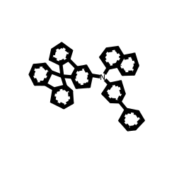 c1ccc(-c2ccc(N(c3ccc4c(c3)-c3ccccc3C43c4ccccc4-c4ccccc43)c3cccc4ccccc34)cc2)cc1